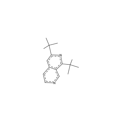 CC(C)(C)c1cc2ccncc2c(C(C)(C)C)n1